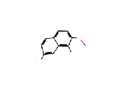 CCCOc1ccc2ccc(C#N)cc2c1I